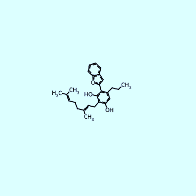 CCCc1cc(O)c(C/C=C(\C)CCC=C(C)C)c(O)c1-c1cc2ccccc2o1